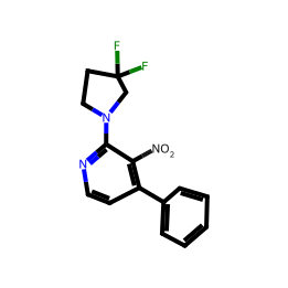 O=[N+]([O-])c1c(-c2ccccc2)ccnc1N1CCC(F)(F)C1